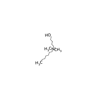 CCCCCCC[N+](C)(C)CCCCCO